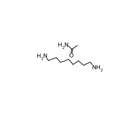 CC(N)=O.NCCCCCCCCN